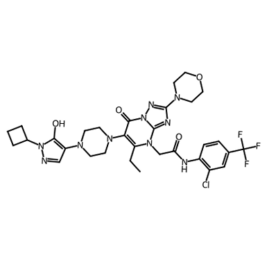 CCc1c(N2CCN(c3cnn(C4CCC4)c3O)CC2)c(=O)n2nc(N3CCOCC3)nc2n1CC(=O)Nc1ccc(C(F)(F)F)cc1Cl